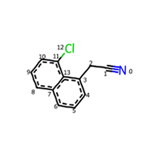 N#CCc1cccc2cccc(Cl)c12